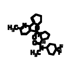 Cc1ccc(S(=O)(=O)N2CCC[C@H]2C(=O)N(C)C2CCC(F)(F)CC2)c(C2=CCCCC2)n1